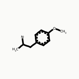 COc1ccc(CC(C)[N])cc1